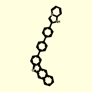 C1=CC2NC(c3ccc(-c4ccc(-c5ccc6oc7cc8ccccc8cc7c6c5)cc4)cc3)=CN2C=C1